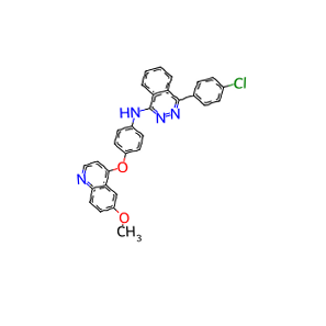 COc1ccc2nccc(Oc3ccc(Nc4nnc(-c5ccc(Cl)cc5)c5ccccc45)cc3)c2c1